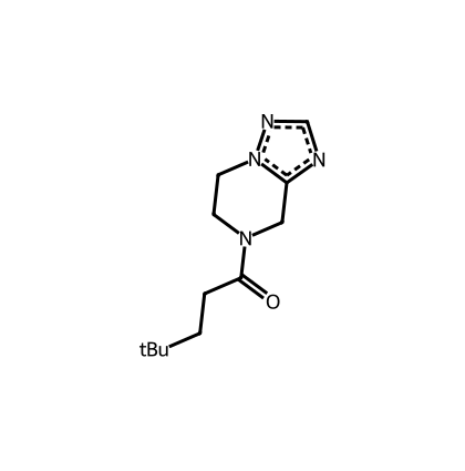 CC(C)(C)CCC(=O)N1CCn2ncnc2C1